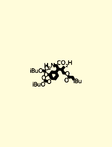 CCC(C)CC(=O)OCC(C)C(c1ccc(OC(=O)OCC(C)C)c(OC(=O)OCC(C)C)c1)[C@H](N)C(=O)O